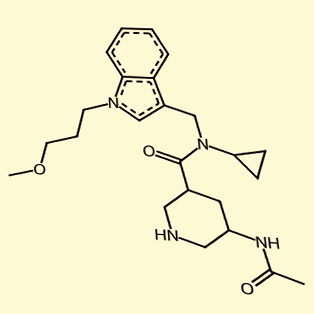 COCCCn1cc(CN(C(=O)C2CNCC(NC(C)=O)C2)C2CC2)c2ccccc21